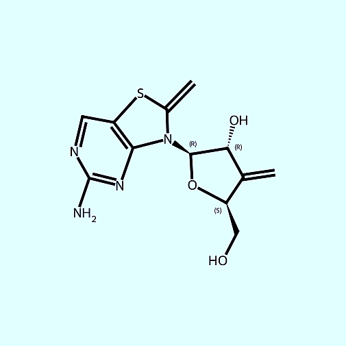 C=C1[C@@H](O)[C@H](N2C(=C)Sc3cnc(N)nc32)O[C@@H]1CO